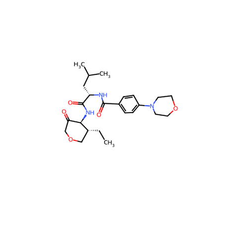 CC[C@@H]1COCC(=O)[C@H]1NC(=O)[C@H](CC(C)C)NC(=O)c1ccc(N2CCOCC2)cc1